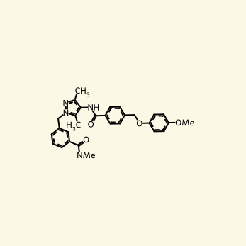 CNC(=O)c1cccc(Cn2nc(C)c(NC(=O)c3ccc(COc4ccc(OC)cc4)cc3)c2C)c1